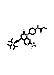 CCC(=O)NC1CCC(n2c(=O)cc(C#C[Si](C(C)C)(C(C)C)C(C)C)c3cnc(S(C)(=O)=O)nc32)CC1